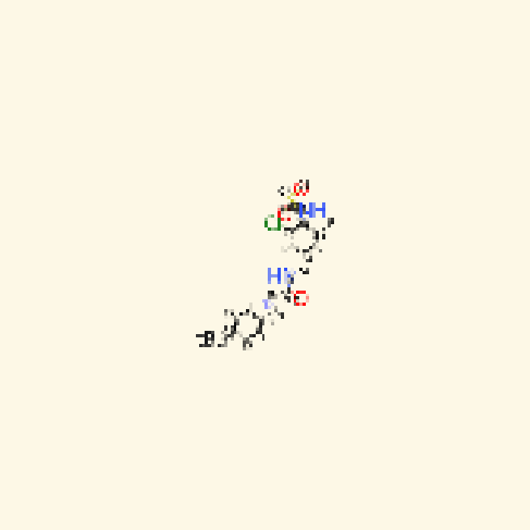 Cc1cc(CNC(=O)/C=C/c2ccc(C(C)(C)C)cc2)cc(Cl)c1NS(C)(=O)=O